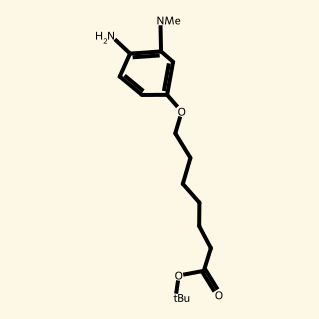 CNc1cc(OCCCCCCC(=O)OC(C)(C)C)ccc1N